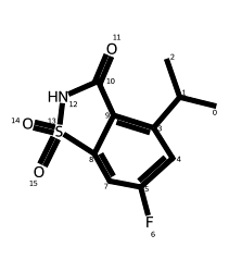 CC(C)c1cc(F)cc2c1C(=O)NS2(=O)=O